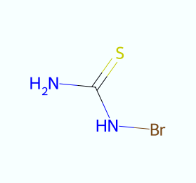 NC(=S)NBr